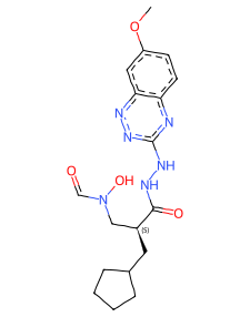 COc1ccc2nc(NNC(=O)[C@@H](CC3CCCC3)CN(O)C=O)nnc2c1